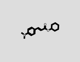 CN(C)c1ccc(C=CC(=O)OC2CCCCC2)cc1